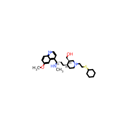 CN[C@@H](CC[C@@H]1CCN(CCSC2CCCCC2)C[C@@H]1CO)c1ccnc2ccc(OC)cc12